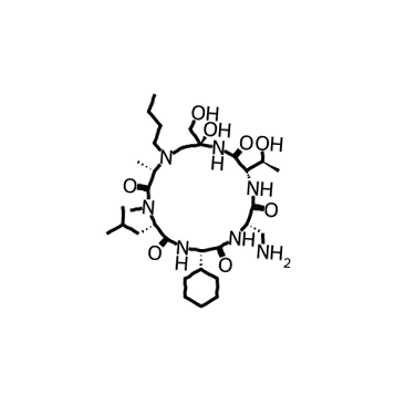 CCCCN1C[C@](O)(CO)NC(=O)[C@H]([C@H](C)O)NC(=O)[C@H](CN)NC(=O)[C@H](C2CCCCC2)NC(=O)[C@H](CC(C)C)N(C)C(=O)[C@@H]1C